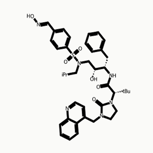 CC(C)CN(C[C@@H](O)[C@H](Cc1ccccc1)NC(=O)[C@@H](N1CCN(Cc2ccnc3ccccc23)C1=O)C(C)(C)C)S(=O)(=O)c1ccc(/C=N/O)cc1